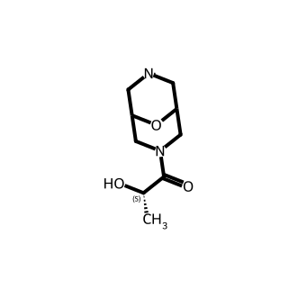 C[C@H](O)C(=O)N1CC2C[N]CC(C1)O2